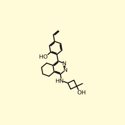 C=Cc1ccc(-c2nnc(NC3CC(C)(O)C3)c3c2CCCC3)c(O)c1